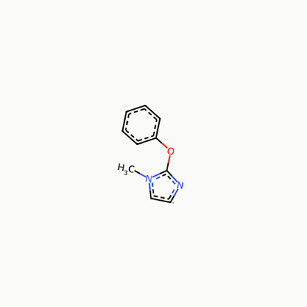 Cn1c[c]nc1Oc1ccccc1